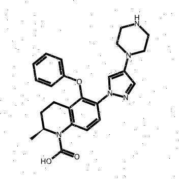 C[C@H]1CCc2c(ccc(-n3cc(N4CCNCC4)cn3)c2Oc2ccccc2)N1C(=O)O